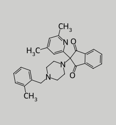 Cc1cc(C)nc(C2(N3CCN(Cc4ccccc4C)CC3)C(=O)c3ccccc3C2=O)c1